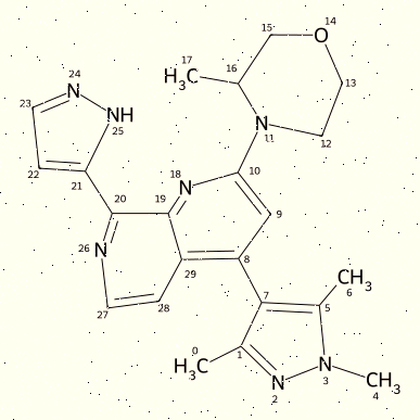 Cc1nn(C)c(C)c1-c1cc(N2CCOCC2C)nc2c(-c3ccn[nH]3)nccc12